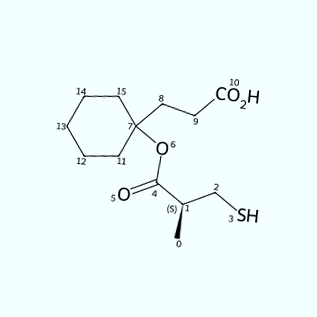 C[C@H](CS)C(=O)OC1(CCC(=O)O)CCCCC1